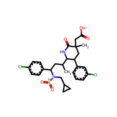 CC(CC(c1ccc(Cl)cc1)N(CC1CC1)[SH](=O)=O)C1NC(=O)C(C)(CC(=O)O)CC1c1cccc(Cl)c1